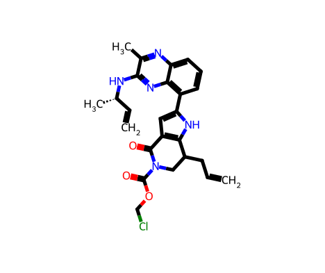 C=CCC1CN(C(=O)OCCl)C(=O)c2cc(-c3cccc4nc(C)c(N[C@@H](C)C=C)nc34)[nH]c21